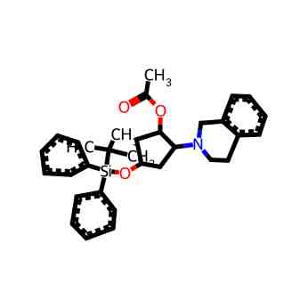 CC(=O)OC1CC(O[Si](c2ccccc2)(c2ccccc2)C(C)(C)C)CC1N1CCc2ccccc2C1